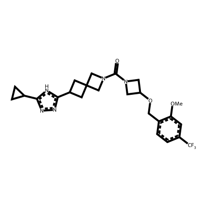 COc1cc(C(F)(F)F)ccc1COC1CN(C(=O)N2CC3(CC(c4nnc(C5CC5)[nH]4)C3)C2)C1